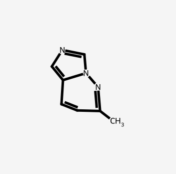 Cc1ccc2cncn2n1